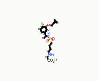 CC(NS(=O)(=O)CCCCNCC(=O)O)c1ccc(F)c(OCC2CC2)c1